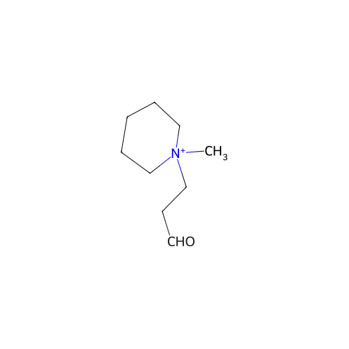 C[N+]1(CCC=O)CCCCC1